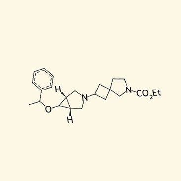 CCOC(=O)N1CCC2(CC(N3C[C@@H]4C(OC(C)c5ccccc5)[C@@H]4C3)C2)C1